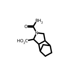 BC(=O)N1CC2C3CCC(C3)C2C1C(=O)O